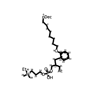 CCCCCCCCCCCCCCCCCCOc1ccccc1CC(COP(=O)(O)OCCC[N+](C)(C)CC)CC(C)=O